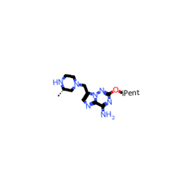 CCCC(C)Oc1nc(N)c2ncc(CN3CCN[C@@H](C)C3)n2n1